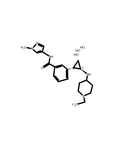 Cl.Cl.Cl.Cn1cc(NC(=O)c2cccc([C@@H]3C[C@H]3NC3CCN(CC(F)(F)F)CC3)c2)cn1